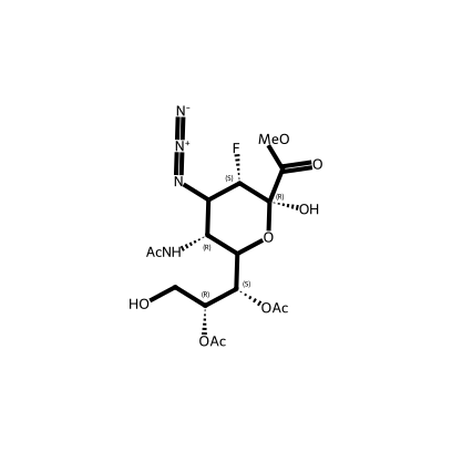 COC(=O)[C@@]1(O)OC([C@H](OC(C)=O)[C@@H](CO)OC(C)=O)[C@H](NC(C)=O)C(N=[N+]=[N-])[C@@H]1F